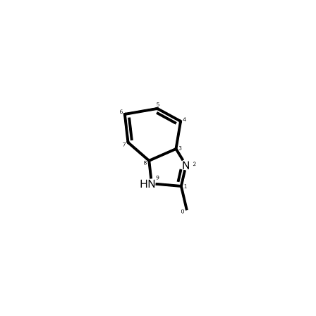 CC1=NC2C=CC=CC2N1